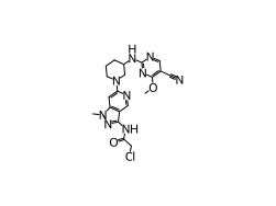 COc1nc(NC2CCCN(c3cc4c(cn3)c(NC(=O)CCl)nn4C)C2)ncc1C#N